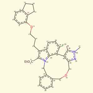 CCOC(=O)c1c(CCCOc2cccc3c2CCC3)c2ccc(F)c3c2n1Cc1ccccc1COCc1nn(C)c(C)c1-3